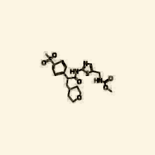 COC(=O)NCc1cnc(NC(=O)C(CC2CCOCC2)c2ccc(S(C)(=O)=O)cc2)s1